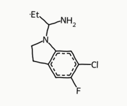 C[CH]C(N)N1CCc2cc(F)c(Cl)cc21